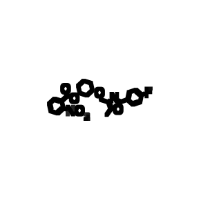 Cc1oc(-c2ccc(F)cc2)nc1CO[C@H]1CCC[C@@H](OC(=O)c2ccccc2[N+](=O)[O-])C1